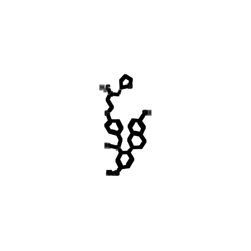 CCN(Cc1ccc(OCCN(C)C[C@@H]2CCCO2)cc1)C1C=C(OC)C=CC1[C@@H]1CCc2cc(O)ccc2C1